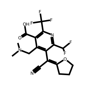 CN(C)Cc1c(C(=O)O)c(C(F)(F)F)nc(C(F)F)c1/C(C#N)=C1/CCCO1